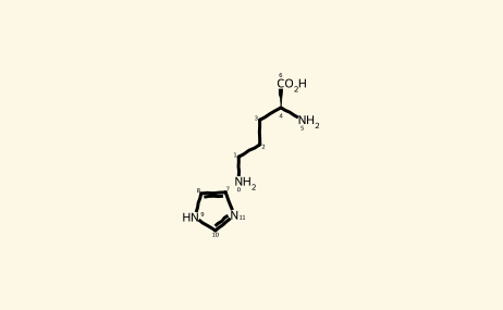 NCCC[C@H](N)C(=O)O.c1c[nH]cn1